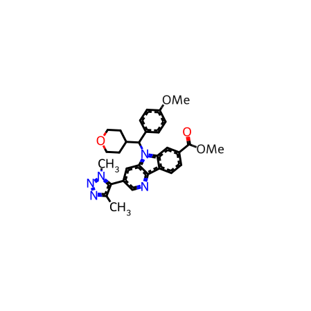 COC(=O)c1ccc2c3ncc(-c4c(C)nnn4C)cc3n(C(c3ccc(OC)cc3)C3CCOCC3)c2c1